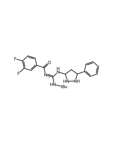 CC(C)(C)N/C(=N/C(=O)c1ccc(F)c(F)c1)NC1CC(c2ccccc2)NN1